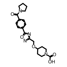 O=C(O)N1CCC(OCc2noc(-c3ccc(C(=O)N4CCCC4)cc3)n2)CC1